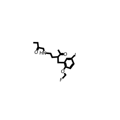 CCC(=O)CNCCC(Cc1cc(I)ccc1OCF)C(C)=O